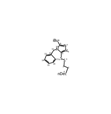 CCCCCCCCCCCCSSc1nnc(C(C)CC)n1Cc1ccccc1